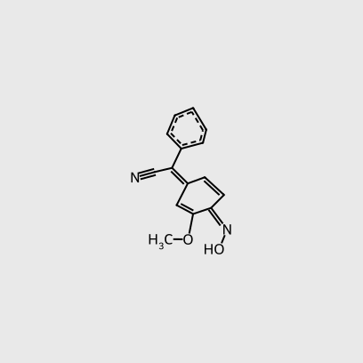 COC1=CC(=C(C#N)c2ccccc2)C=CC1=NO